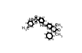 C[C@@H]1C(=O)N(C)c2ccc(Nc3cccc(S(=O)(=O)NC4CCN(C)CC4)c3)nc2N1C1CCCCCC1